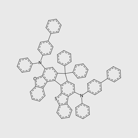 c1ccc(-c2ccc(N(c3ccccc3)c3cc4c(c5c3oc3ccccc35)-c3c(cc(N(c5ccccc5)c5ccc(-c6ccccc6)cc5)c5c3sc3ccccc35)C4(c3ccccc3)c3ccccc3)cc2)cc1